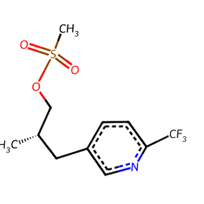 C[C@H](COS(C)(=O)=O)Cc1ccc(C(F)(F)F)nc1